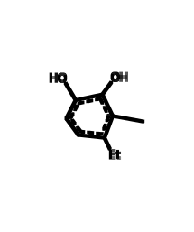 CCc1ccc(O)c(O)c1C